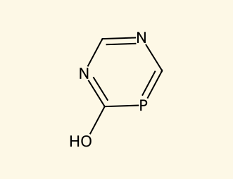 Oc1ncncp1